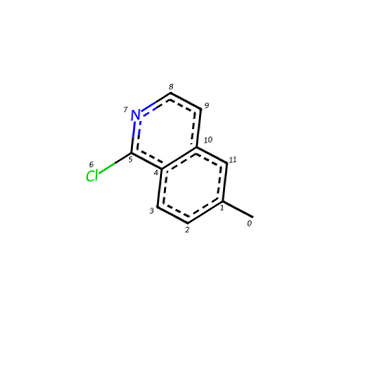 Cc1ccc2c(Cl)nccc2c1